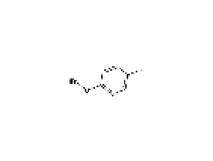 CC(C)Oc1c[c]c(F)cn1